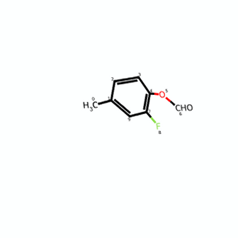 Cc1ccc(OC=O)c(F)c1